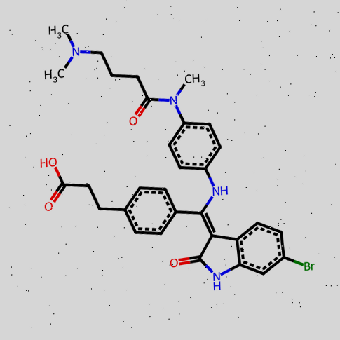 CN(C)CCCC(=O)N(C)c1ccc(NC(=C2C(=O)Nc3cc(Br)ccc32)c2ccc(CCC(=O)O)cc2)cc1